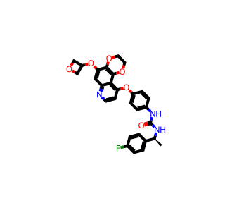 C[C@H](NC(=O)Nc1ccc(Oc2ccnc3cc(OC4COC4)c4c(c23)OCCO4)cc1)c1ccc(F)cc1